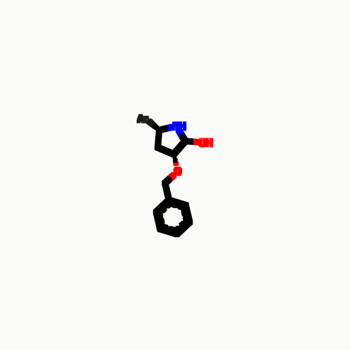 CC(=O)[C@@H]1C[C@@H](OCc2ccccc2)C(O)N1